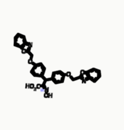 O=C(O)/C(=N\O)C(c1ccc(OCc2nc3ccccc3o2)cc1)c1ccc(OCc2nc3ccccc3o2)cc1